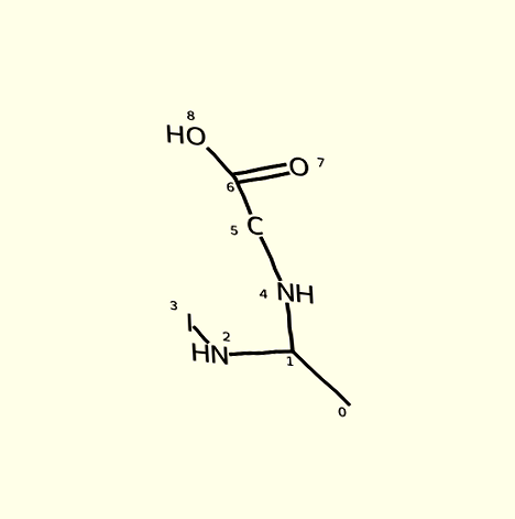 CC(NI)NCC(=O)O